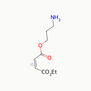 CCOC(=O)/C=C\C(=O)OCCCN